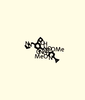 COc1cc(C2CC2)nc(OC)c1S(=O)(=O)Nc1noc2cc(Cn3cccn3)c3c(c12)OC1CC3C1